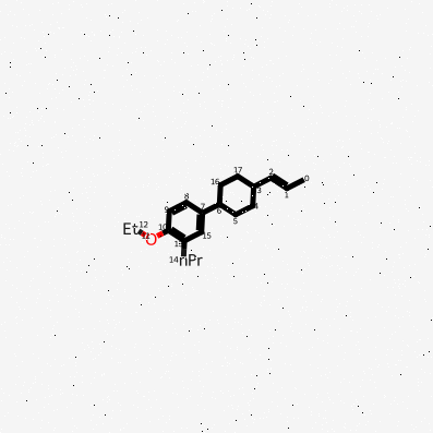 CC=CC1CCC(c2ccc(OCC)c(CCC)c2)CC1